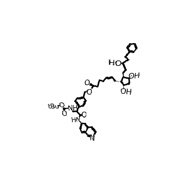 CC(C)(C)OC(=O)NCC(C(=O)Nc1ccc2cnccc2c1)c1ccc(COC(=O)CCC/C=C\C[C@@H]2[C@@H](CCC(O)CCc3ccccc3)[C@H](O)C[C@@H]2O)cc1